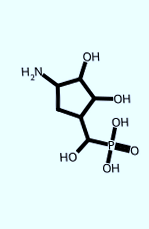 NC1CC(C(O)P(=O)(O)O)C(O)C1O